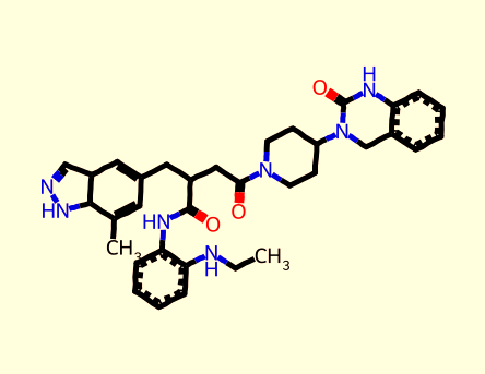 CCNc1ccccc1NC(=O)C(CC(=O)N1CCC(N2Cc3ccccc3NC2=O)CC1)CC1=CC2C=NNC2C(C)=C1